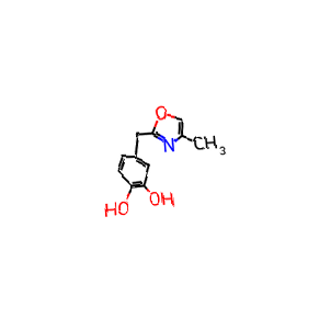 Cc1coc(Cc2ccc(O)c(O)c2)n1